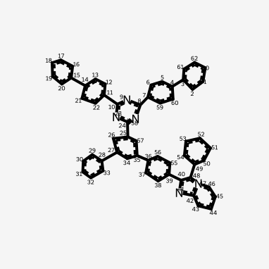 c1ccc(-c2ccc(-c3nc(-c4ccc(-c5ccccc5)cc4)nc(-c4cc(-c5ccccc5)cc(-c5ccc(-c6nc7ccccn7c6-c6ccccc6)cc5)c4)n3)cc2)cc1